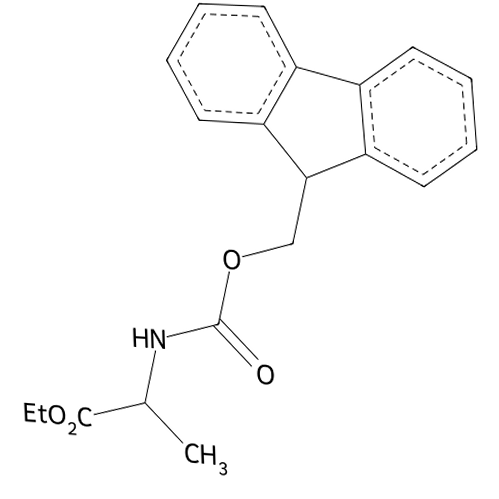 CCOC(=O)C(C)NC(=O)OCC1c2ccccc2-c2ccccc21